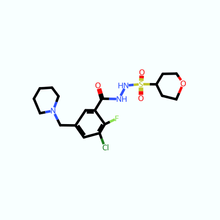 O=C(NNS(=O)(=O)C1CCOCC1)c1cc(CN2CCCCC2)cc(Cl)c1F